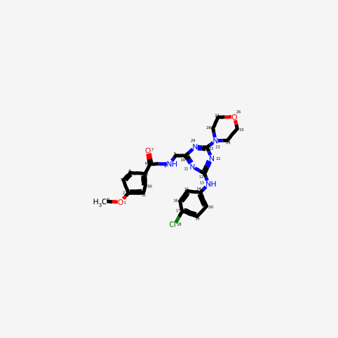 COc1ccc(C(=O)NCc2nc(Nc3ccc(Cl)cc3)nc(N3CCOCC3)n2)cc1